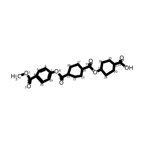 COC(=O)c1ccc(OC(=O)C2CCC(C(=O)OC3CCC(C(=O)O)CC3)CC2)cc1